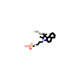 Br.CC1N(CCCCCS(=O)(=O)O)c2ccc3ccccc3c2C1(C)C.[NaH]